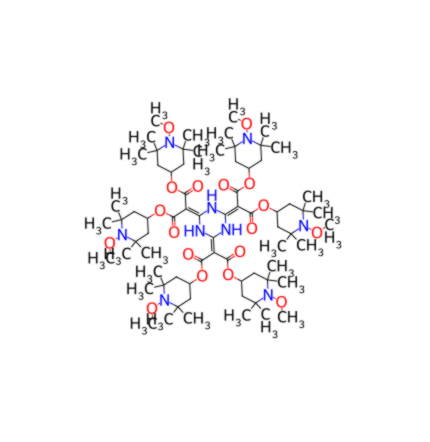 CON1C(C)(C)CC(OC(=O)C(C(=O)OC2CC(C)(C)N(OC)C(C)(C)C2)=C2NC(=C(C(=O)OC3CC(C)(C)N(OC)C(C)(C)C3)C(=O)OC3CC(C)(C)N(OC)C(C)(C)C3)NC(=C(C(=O)OC3CC(C)(C)N(OC)C(C)(C)C3)C(=O)OC3CC(C)(C)N(OC)C(C)(C)C3)N2)CC1(C)C